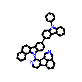 c1ccc(-n2c3ccccc3c3cc(-c4ccc5c(c4)c4ccc6ccccc6c4n5-c4nccc5c4-c4cncc6cccc-5c46)ccc32)cc1